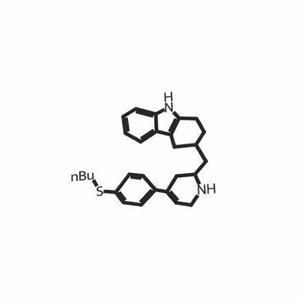 CCCCSc1ccc(C2=CCNC(CC3CCc4[nH]c5ccccc5c4C3)C2)cc1